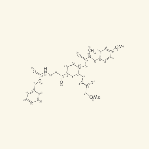 COCC(=O)OCC1CN(C(=O)CCNC(=O)OCc2ccccc2)CCN1CC(=O)N(C)Cc1ccc(OC)cc1